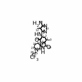 Cc1cc(Nc2ncnc(N)c2C)c(=O)n2c1C(=O)NC21CCCN(CCC(F)(F)F)C1